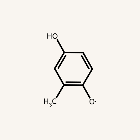 Cc1cc(O)ccc1[O]